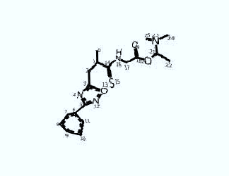 CC(Cc1nc(-c2ccccc2)no1)C(=S)NCC(=O)OC(C)N(C)C